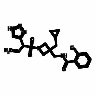 C=CC(c1c[nH]nn1)S(=O)(=O)N1CC(CNC(=O)c2ccccc2Cl)(CC2CC2)C1